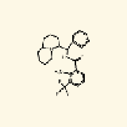 Cc1c(C(=O)NC(c2ccccc2)C2CCCC3CCCCN32)cccc1C(F)(F)F